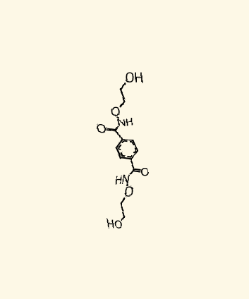 O=C(NOCCO)c1ccc(C(=O)NOCCO)cc1